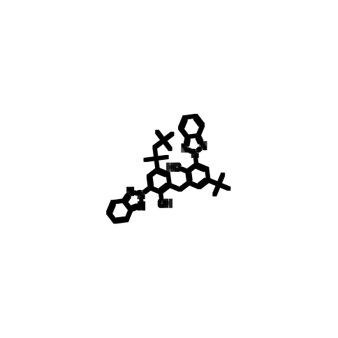 CC(C)(C)CC(C)(C)c1cc(Cc2cc(C(C)(C)C)cc(-n3nc4ccccc4n3)c2O)c(O)c(-n2nc3ccccc3n2)c1